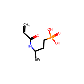 C=CC(=O)NC(CCC)CCP(=O)(O)O